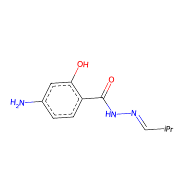 CC(C)C=NNC(=O)c1ccc(N)cc1O